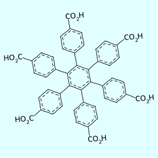 O=C(O)c1ccc(-c2c(-c3ccc(C(=O)O)cc3)c(-c3ccc(C(=O)O)cc3)c(-c3ccc(C(=O)O)cc3)c(-c3ccc(C(=O)O)cc3)c2-c2ccc(C(=O)O)cc2)cc1